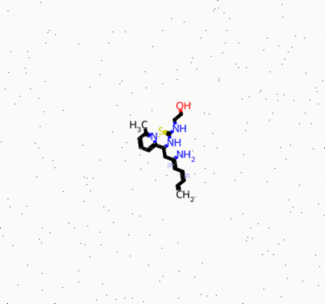 C=C/C=C\C=C(/N)CC(NC(=S)NCCO)c1cccc(C)n1